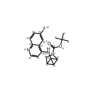 CC(C)(C)OC(=O)N1CC2C3C1C23Nc1ccnc2ccc(F)cc12